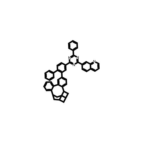 c1ccc(-c2nc(-c3ccc(-c4ccccc4)c(-c4ccc5c(c4)-c4ccccc4C4CC6CC7CC5C67C4)c3)nc(-c3ccc4cccnc4c3)n2)cc1